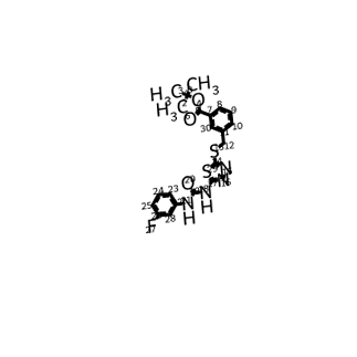 CC(C)(C)OC(=O)c1cccc(CSc2nnc(NC(=O)Nc3cccc(F)c3)s2)c1